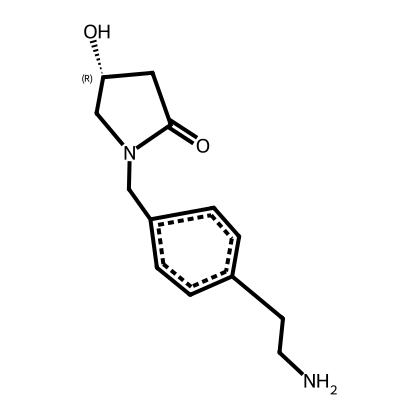 NCCc1ccc(CN2C[C@H](O)CC2=O)cc1